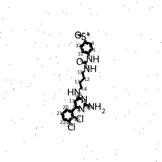 C[S+]([O-])c1ccc(NC(=O)NCCCCNc2cc(-c3cccc(Cl)c3Cl)nc(N)n2)cc1